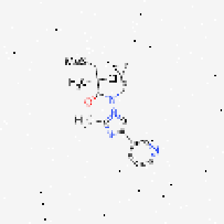 CSCC(C)(C)C(=O)N(CC1CC1)n1cc(-c2cccnc2)nc1C